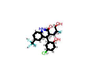 O=c1[nH]c2ccc(C(F)(F)F)cc2c(-c2cc(Cl)ccc2O)c1/C=C(/F)CO